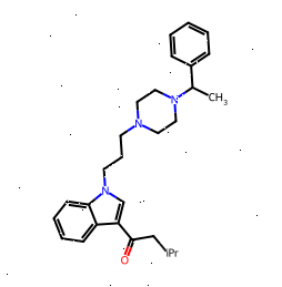 CC(C)CC(=O)c1cn(CCCN2CCN(C(C)c3ccccc3)CC2)c2ccccc12